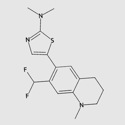 CN(C)c1ncc(-c2cc3c(cc2C(F)F)N(C)CCC3)s1